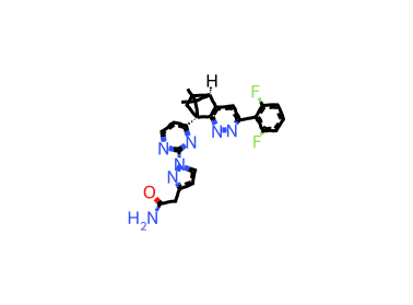 CC1(C)[C@H]2CC[C@]1(c1ccnc(-n3ccc(CC(N)=O)n3)n1)c1nnc(-c3c(F)cccc3F)cc12